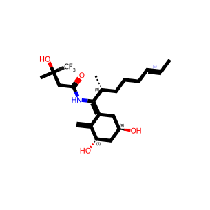 C=C1C(=C(NC(=O)CC(C)(O)C(F)(F)F)[C@H](C)CCC/C=C/C)C[C@@H](O)C[C@@H]1O